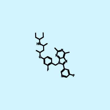 CCC(CC)NC(C)CC(C)Oc1ccc(Cn2c(-c3cncc(F)c3)nc3c(C)nc(C)nc32)c(F)c1